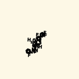 CN1C(=O)[C@@H](NC(=O)c2ncn(Cc3ccccc3F)n2)CSc2cc(N3CCC(F)(F)C3)c(F)cc21